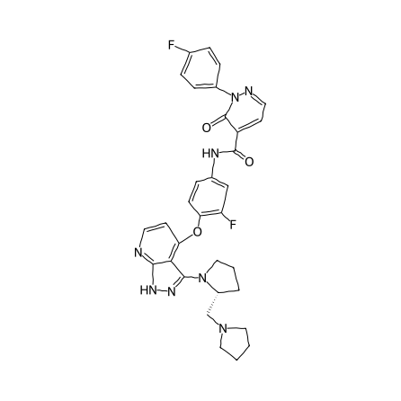 O=C(Nc1ccc(Oc2ccnc3[nH]nc(N4CCC[C@@H]4CN4CCCC4)c23)c(F)c1)c1ccnn(-c2ccc(F)cc2)c1=O